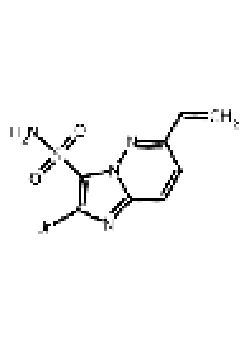 C=Cc1ccc2nc(Br)c(S(N)(=O)=O)n2n1